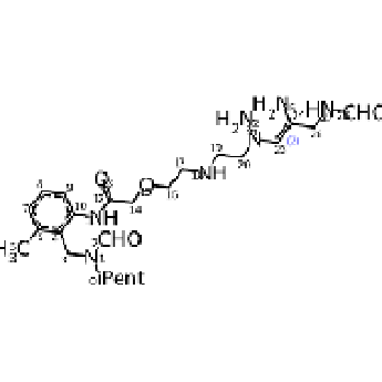 CCCC(C)N(C=O)Cc1c(C)cccc1NC(=O)COCCNCCN(N)/C=C(\N)CNC=O